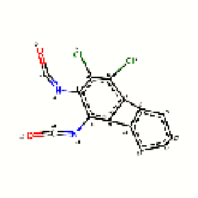 O=C=Nc1c(Cl)c(Cl)c2c(c1N=C=O)-c1ccccc1-2